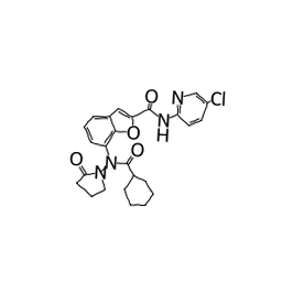 O=C(Nc1ccc(Cl)cn1)c1cc2cccc(N(C(=O)C3CCCCC3)N3CCCC3=O)c2o1